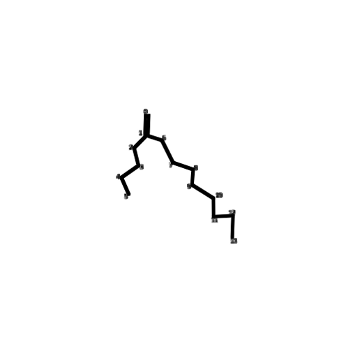 C=C(CCCC)CCCCCCCC